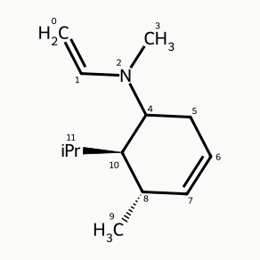 C=CN(C)C1CC=C[C@H](C)[C@H]1C(C)C